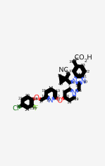 N#CCC1(Cn2c(CN3CCC(Oc4cccc(COc5ccc(Cl)cc5F)n4)CC3)nc3ccc(CC(=O)O)cc32)CC1